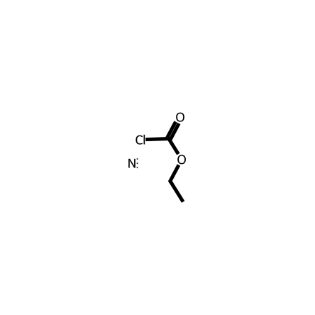 CCOC(=O)Cl.[N]